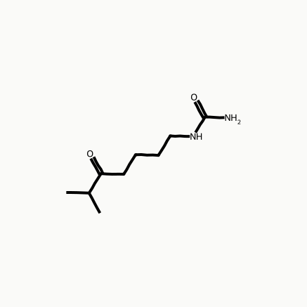 CC(C)C(=O)CCCCNC(N)=O